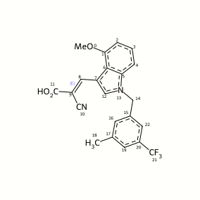 COc1cccc2c1c(/C=C(\C#N)C(=O)O)cn2Cc1cc(C)cc(C(F)(F)F)c1